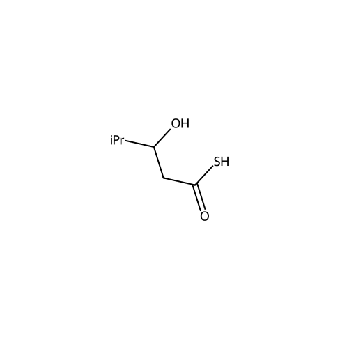 CC(C)C(O)CC(=O)S